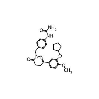 COc1ccc(C2=NN(Cc3ccc(NC(N)=O)cc3)C(=O)CC2)cc1OC1CCCC1